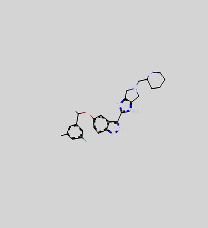 Cc1cc(F)cc(C(C)Oc2ccc3[nH]nc(-c4nc5c([nH]4)CN(CC4CCCCN4)C5)c3c2)c1